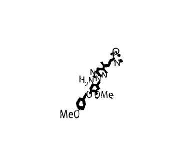 C=N/C(=C\C=C(/C)c1cnc2c(c1)nc(N)n2Cc1ccc(OCc2ccc(OC)cc2)c(OC)c1)P(C)(C)=O